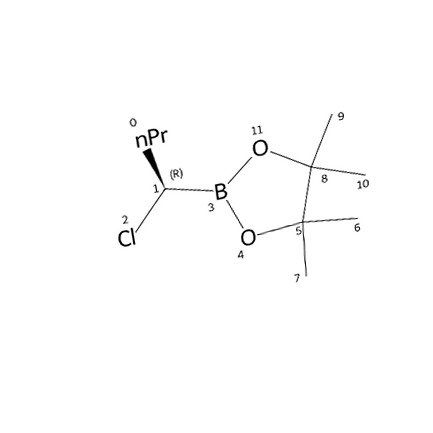 CCC[C@H](Cl)B1OC(C)(C)C(C)(C)O1